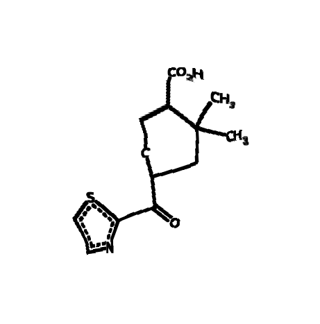 CC1(C)CC(C(=O)c2nccs2)CCC1C(=O)O